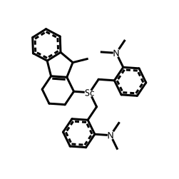 CC1C2=C(CCC[CH]2[Sc]([CH2]c2ccccc2N(C)C)[CH2]c2ccccc2N(C)C)c2ccccc21